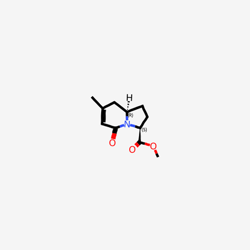 COC(=O)[C@@H]1CC[C@@H]2CC(C)=CC(=O)N21